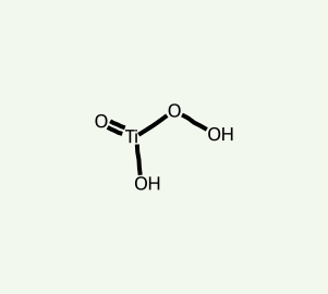 [O]=[Ti]([OH])[O]O